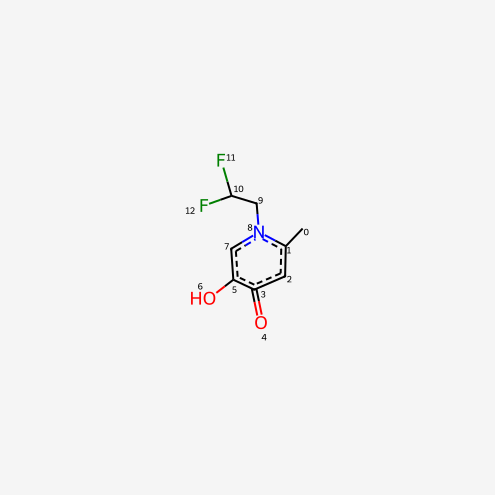 Cc1cc(=O)c(O)cn1CC(F)F